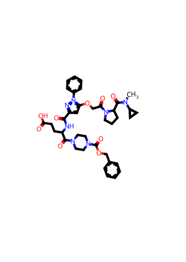 CN(C(=O)C1CCCN1C(=O)COc1cc(C(=O)NC(CCC(=O)O)C(=O)N2CCN(C(=O)OCc3ccccc3)CC2)nn1-c1ccccc1)C1CC1